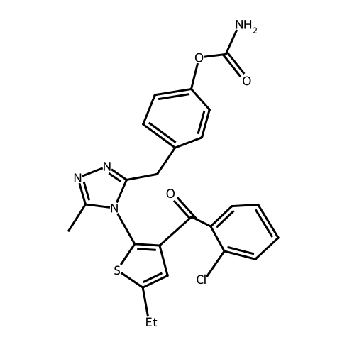 CCc1cc(C(=O)c2ccccc2Cl)c(-n2c(C)nnc2Cc2ccc(OC(N)=O)cc2)s1